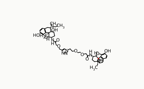 CCN(C)C1Cc2ccc(O)c3c2[C@@]2(C)[C@@H](O3)[C@@H](NC(=O)COCc3cn(CCOCCOCC(=O)N[C@@H]4CC[C@@]5(O)C6Cc7ccc(O)c8c7[C@@]5(CCN6C)[C@H]4O8)nn3)CC[C@@]12O